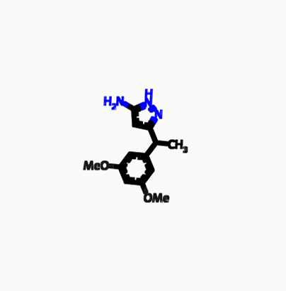 COc1cc(OC)cc(C(C)c2cc(N)[nH]n2)c1